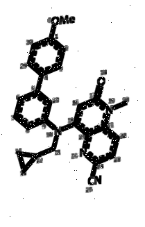 COc1ccc(-c2cccc(N(CC3CC3)c3cc(=O)n(C)c4ccc(C#N)nc34)c2)cc1